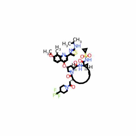 COc1ccc2c(O[C@@H]3C[C@H]4C(=O)NC5(C(=O)NS(=O)(=O)C6CC6)C[C@H]5C=CCCCCC[C@H](CC(=O)N5CCC(C(F)(F)F)CC5)C(=O)N4C3)cc(-c3csc(NC(C)C)n3)nc2c1C